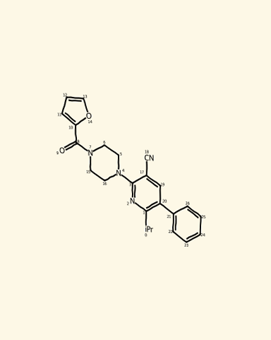 CC(C)c1nc(N2CCN(C(=O)c3ccco3)CC2)c(C#N)cc1-c1ccccc1